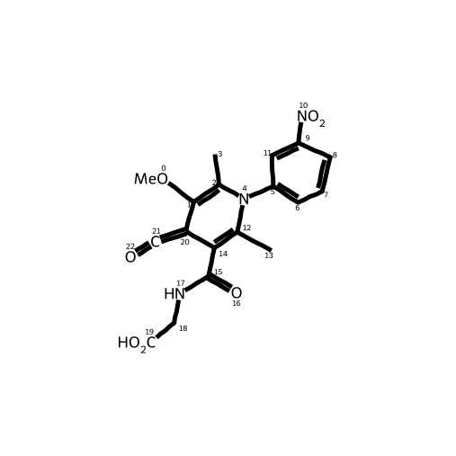 COC1=C(C)N(c2cccc([N+](=O)[O-])c2)C(C)=C(C(=O)NCC(=O)O)C1=C=O